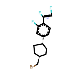 F/C=C(\F)c1ccc([C@H]2CC[C@H](CBr)CC2)cc1F